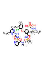 COc1cc(OC)nc(NC(=O)NS(=O)(=O)c2ncccc2C(=O)N(C)C)n1.CS(=O)(=O)NC(=O)c1cc(Oc2ccc(C(F)(F)F)cc2Cl)ccc1[N+](=O)[O-].O=C(O)CNCP(=O)(O)O